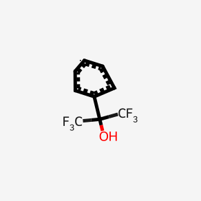 OC(c1cc[c]cc1)(C(F)(F)F)C(F)(F)F